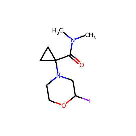 CN(C)C(=O)C1(N2CCOC(I)C2)CC1